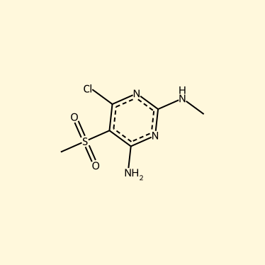 CNc1nc(N)c(S(C)(=O)=O)c(Cl)n1